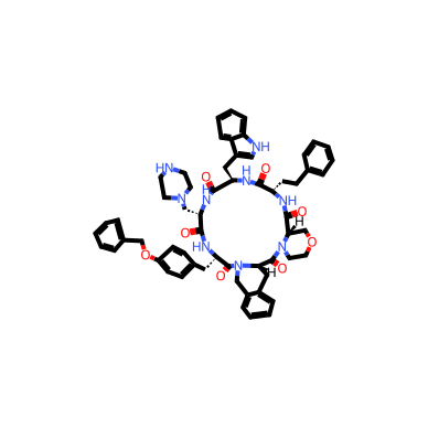 O=C1N[C@@H](Cc2ccc(OCc3ccccc3)cc2)C(=O)N2Cc3ccccc3C[C@H]2C(=O)N2CCOC[C@H]2C(=O)N[C@@H](CCc2ccccc2)C(=O)N[C@H](Cc2c[nH]c3ccccc23)C(=O)N[C@H]1CN1CCNCC1